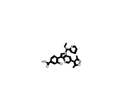 CC[C@@H](c1ccccn1)n1cc(-c2ccc(C(=O)O)cc2Cl)c2ncc(-c3c(C)noc3C)cc21